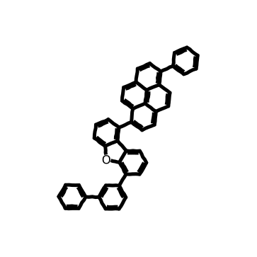 c1ccc(-c2cccc(-c3cccc4c3oc3cccc(-c5ccc6ccc7c(-c8ccccc8)ccc8ccc5c6c87)c34)c2)cc1